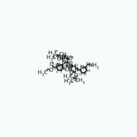 CCOC(=O)c1cccc(N(C(=O)OC(C)(C)C)C(OC(=O)CN(C(=O)OC(C)(C)C)c2cccc(CN)n2)(C(=O)O)C(C)(C)C)n1